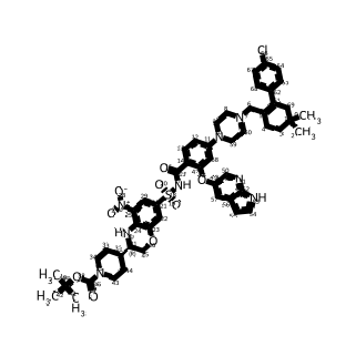 CC1(C)CCC(CN2CCN(c3ccc(C(=O)NS(=O)(=O)c4cc5c(c([N+](=O)[O-])c4)N[C@H](C4CCN(C(=O)OC(C)(C)C)CC4)CO5)c(Oc4cnc5[nH]ccc5c4)c3)CC2)=C(c2ccc(Cl)cc2)C1